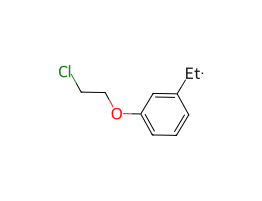 C[CH]c1cccc(OCCCl)c1